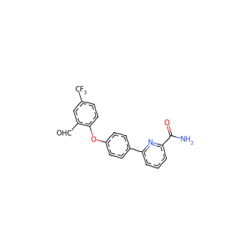 NC(=O)c1cccc(-c2ccc(Oc3ccc(C(F)(F)F)cc3C=O)cc2)n1